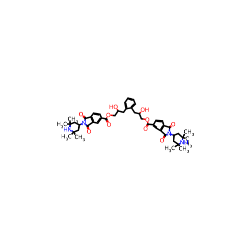 CC1(C)CC(N2C(=O)c3ccc(C(=O)OCC(O)Cc4ccccc4CC(O)COC(=O)c4ccc5c(c4)C(=O)N(C4CC(C)(C)NC(C)(C)C4)C5=O)cc3C2=O)CC(C)(C)N1